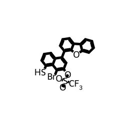 O=S(=O)(Oc1cc(-c2cccc3c2oc2ccccc23)c2cccc(S)c2c1Br)C(F)(F)F